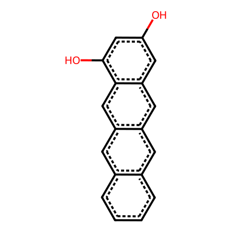 Oc1cc(O)c2cc3cc4ccccc4cc3cc2c1